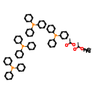 CC(=O)[O-].CC(=O)[O-].[Pd+2].[Pd].c1ccc(P(c2ccccc2)c2ccccc2)cc1.c1ccc(P(c2ccccc2)c2ccccc2)cc1.c1ccc(P(c2ccccc2)c2ccccc2)cc1.c1ccc(P(c2ccccc2)c2ccccc2)cc1